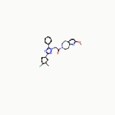 COc1ccc2c(n1)CCN(C(=O)Cn1nc(-c3ccc(F)c(C)c3)nc1-c1ccccc1)CC2